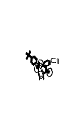 CC(C)(C)c1ccc(S(=O)(=O)Nc2ccc(Cl)cc2C(=O)Cl)cc1